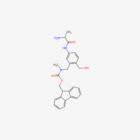 CC(N)C(=O)Nc1ccc(CO)c(CN(C)C(=O)OCC2c3ccccc3-c3ccccc32)c1